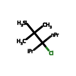 CCCC(Cl)(C(C)C)C(C)(C)[SiH3]